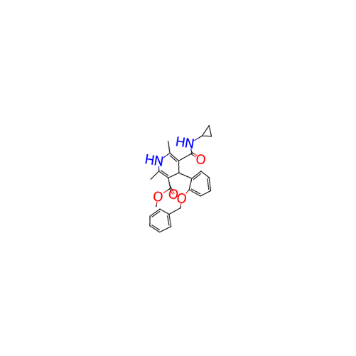 COC(=O)C1=C(C)NC(C)=C(C(=O)NC2CC2)C1c1ccccc1OCc1ccccc1